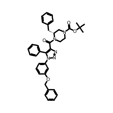 CC(C)(C)OC(=O)N1CCN(C(=O)c2nnn(-c3cccc(OCc4ccccc4)c3)c2-c2ccccc2)[C@H](Cc2ccccc2)C1